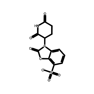 O=C1CCC(n2c(=O)oc3c(S(=O)(=O)Cl)cccc32)C(=O)N1